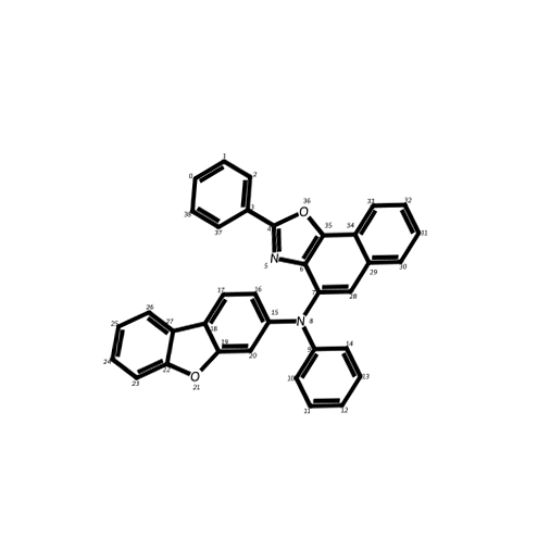 c1ccc(-c2nc3c(N(c4ccccc4)c4ccc5c(c4)oc4ccccc45)cc4ccccc4c3o2)cc1